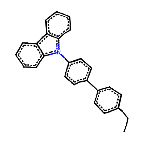 CCc1ccc(-c2ccc(-n3c4ccccc4c4ccccc43)cc2)cc1